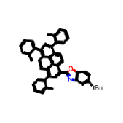 Cc1ccccc1-c1cc(-c2nc3cc(C(C)(C)C)ccc3o2)c2ccc3c(-c4ccccc4C)cc(-c4ccccc4C)c4ccc1c2c34